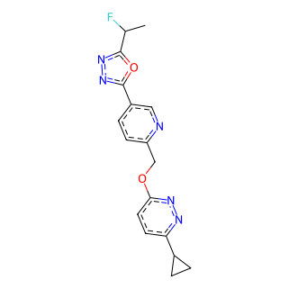 CC(F)c1nnc(-c2ccc(COc3ccc(C4CC4)nn3)nc2)o1